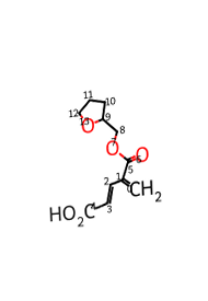 C=C(C=CC(=O)O)C(=O)OCC1CCCO1